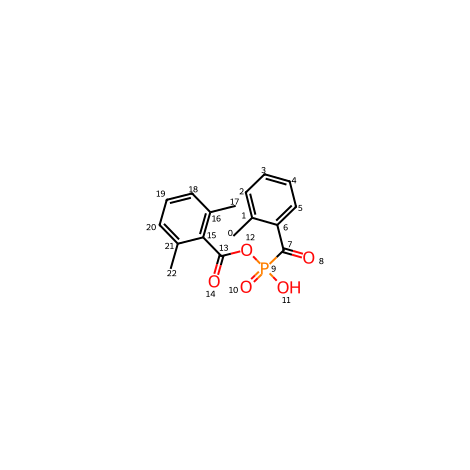 Cc1ccccc1C(=O)P(=O)(O)OC(=O)c1c(C)cccc1C